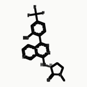 CN1CC[C@@H](Nc2nnc(-c3ccc(C(F)(F)F)cc3O)c3ccncc23)C1=O